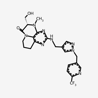 CN1c2nc(NCc3cnn(Cc4ccc(C(F)(F)F)nc4)c3)nc3c2N(CCC3)C(=O)[C@@H]1CO